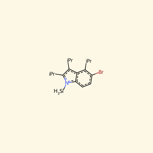 CC(C)c1c(Br)ccc2c1c(C(C)C)c(C(C)C)n2[SiH3]